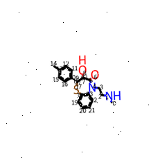 CNCCN1C(=O)[C@H](O)[C@H](c2ccc(C)cc2)Sc2ccccc21